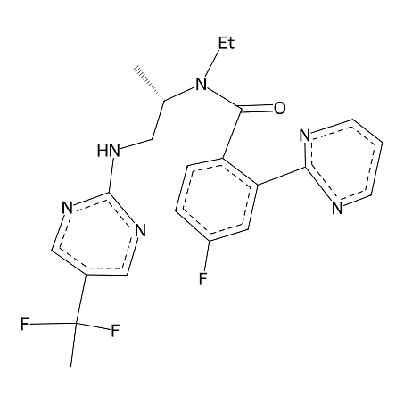 CCN(C(=O)c1ccc(F)cc1-c1ncccn1)[C@@H](C)CNc1ncc(C(C)(F)F)cn1